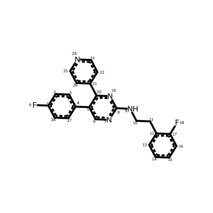 Fc1ccc(-c2cnc(NCCc3ccccc3F)nc2-c2ccncc2)cc1